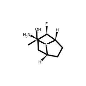 CB(O)N1[C@@H]2CC[C@H]1[C@H](F)[C@H](N)C2